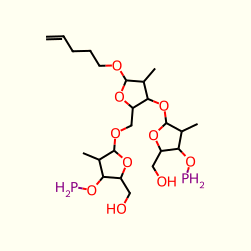 C=CCCCOC1OC(COC2OC(CO)C(OP)C2C)C(OC2OC(CO)C(OP)C2C)C1C